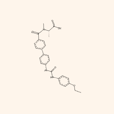 CCOc1ccc(NC(=O)Nc2ccc(-c3ccc(C(=O)N(C)[C@@H](C)C(=O)O)cc3)cc2)cc1